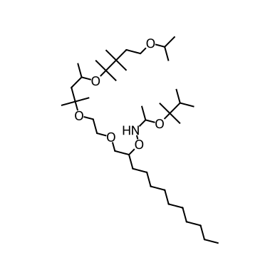 CCCCCCCCCCC(COCCOC(C)(C)CC(C)OC(C)(C)C(C)(C)CCOC(C)C)ONC(C)OC(C)(C)C(C)C